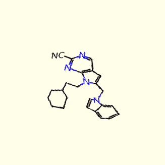 N#Cc1ncc2cc(Cn3ccc4ccccc43)n(CCC3CCCCC3)c2n1